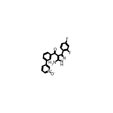 Nc1[nH]nc(-c2ccc(F)cc2F)c1C(=O)c1cccc(-c2ccc[n+]([O-])c2)c1